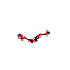 C=CC(=O)OCCCCOC(=O)Oc1ccc2c(c1)C(C)c1cc(OC(=O)c3ccc(OCCCCOC(=O)C(=C)CC(=O)OC4CCCCC4)cc3)ccc1-2